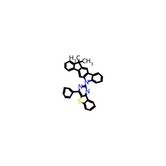 CC1(C)c2ccccc2-c2cc3c(cc21)c1ccccc1n3-c1nc(-c2ccccc2)c2sc3ccccc3c2n1